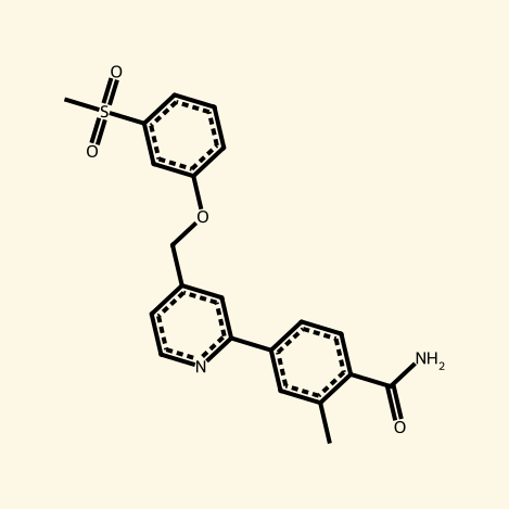 Cc1cc(-c2cc(COc3cccc(S(C)(=O)=O)c3)ccn2)ccc1C(N)=O